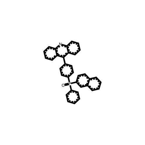 O=P(c1ccccc1)(c1ccc(-c2c3ccccc3nc3ccccc23)cc1)c1ccc2ccccc2c1